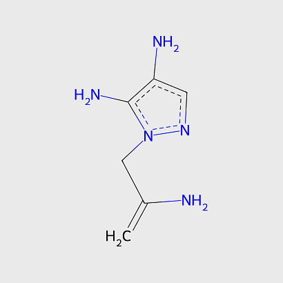 C=C(N)Cn1ncc(N)c1N